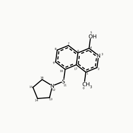 Cc1cnc(O)c2cccc(SN3CCCC3)c12